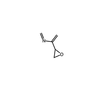 C=NC(=C)C1CO1